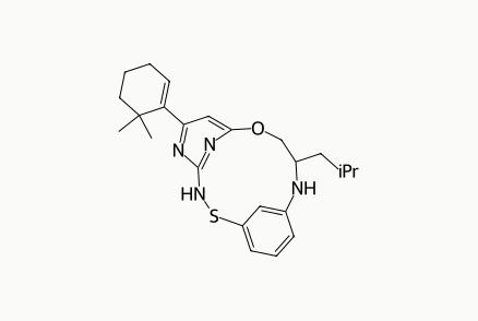 CC(C)CC1COc2cc(C3=CCCCC3(C)C)nc(n2)NSc2cccc(c2)N1